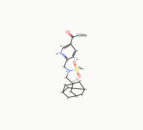 COC(=O)c1ccc(CN(CC23CC4CC(CC(C4)C2)C3)S(C)(=O)=O)nc1